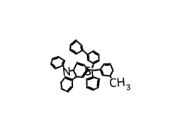 CC1C=C([Si](C2=CC3C4=C(CCC=C4)N(c4ccccc4)C3C=C2)(c2ccccc2)c2cccc(-c3ccccc3)c2)C=CC1